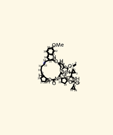 C=C[C@@H]1C[C@]1(NC(=O)[C@@H]1C[C@@H]2CN1C(=O)[C@H](C1CCCC1)NC(=O)O[C@@H]1CCC[C@H]1CCC/C=C/c1cc3ccc(OC)cc3nc1O2)C(=O)NS(=O)(=O)C1CC1